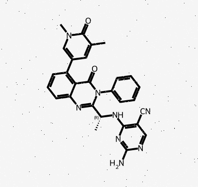 Cc1cc(-c2cccc3nc([C@@H](C)Nc4nc(N)ncc4C#N)n(-c4ccccc4)c(=O)c23)cn(C)c1=O